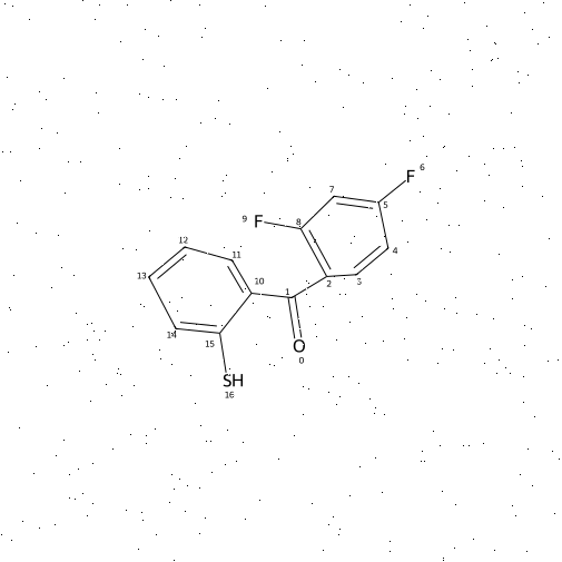 O=C(c1ccc(F)cc1F)c1ccccc1S